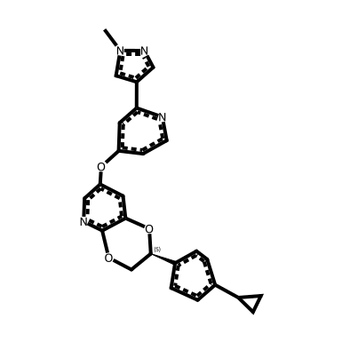 Cn1cc(-c2cc(Oc3cnc4c(c3)O[C@@H](c3ccc(C5CC5)cc3)CO4)ccn2)cn1